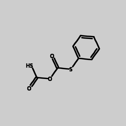 O=C(S)OC(=O)Sc1ccccc1